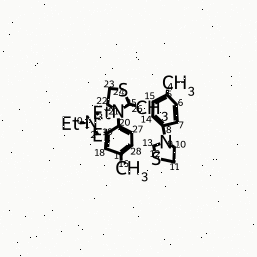 CCN(CC)CC.Cc1ccc(N2CCSC2)cc1.Cc1ccc(N2CCSC2C)cc1